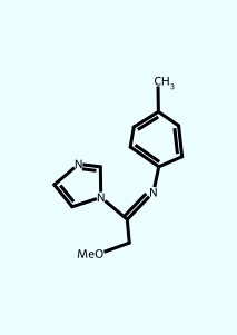 COCC(=Nc1ccc(C)cc1)n1ccnc1